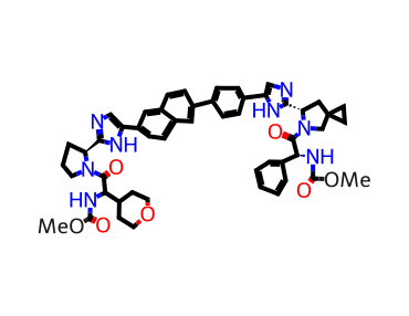 COC(=O)NC(C(=O)N1CCC[C@H]1c1ncc(-c2ccc3cc(-c4ccc(-c5cnc([C@@H]6CC7(CC7)CN6C(=O)[C@H](NC(=O)OC)c6ccccc6)[nH]5)cc4)ccc3c2)[nH]1)C1CCOCC1